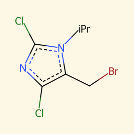 CC(C)n1c(Cl)nc(Cl)c1CBr